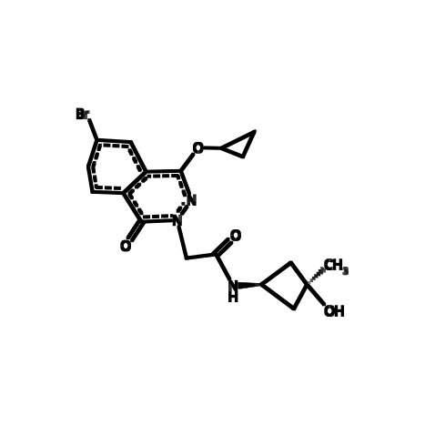 C[C@]1(O)C[C@@H](NC(=O)Cn2nc(OC3CC3)c3cc(Br)ccc3c2=O)C1